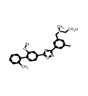 CCOc1cc(-c2nc(-c3cc(F)cc(CN(C)CC(=O)O)c3)no2)ccc1-c1ccccc1C